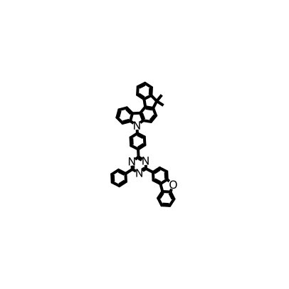 CC1(C)c2ccccc2-c2c1ccc1c2c2ccccc2n1-c1ccc(-c2nc(-c3ccccc3)nc(-c3ccc4oc5ccccc5c4c3)n2)cc1